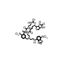 CCC(=O)NCCNC(=O)OC(C)c1cc(CN(CCNC(=O)CCCCC2SCC3NC(=O)NC32)CCNc2ccc([N+](=O)[O-])c3nonc23)ccc1[N+](=O)[O-]